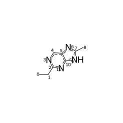 CCc1ncc2nc(C)[nH]c2n1